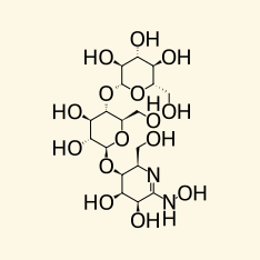 OC[C@@H]1O[C@H](O[C@H]2[C@H](O)[C@@H](O)[C@H](O[C@@H]3[C@H](O)[C@H](O)C(NO)=N[C@@H]3CO)O[C@@H]2CO)[C@@H](O)[C@H](O)[C@H]1O